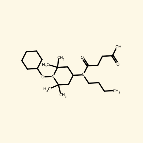 CCCCN(C(=O)CCC(=O)O)C1CC(C)(C)N(OC2CCCCC2)C(C)(C)C1